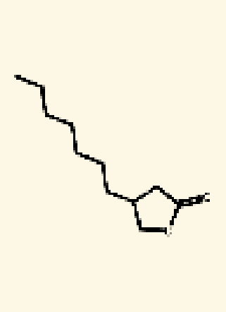 CCCCCCCC1COC(=O)C1